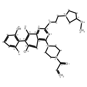 C=CC(=O)N1CCN(c2nc(OCCN3CCC(OC)C3)nc3c(F)c(-c4c(O)cccc4F)c(Cl)cc23)CC1